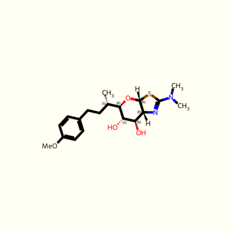 COc1ccc(CC[C@H](C)[C@H]2O[C@@H]3SC(N(C)C)=N[C@@H]3[C@@H](O)[C@@H]2O)cc1